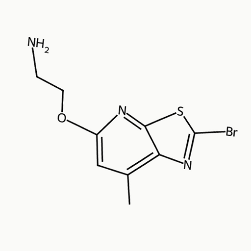 Cc1cc(OCCN)nc2sc(Br)nc12